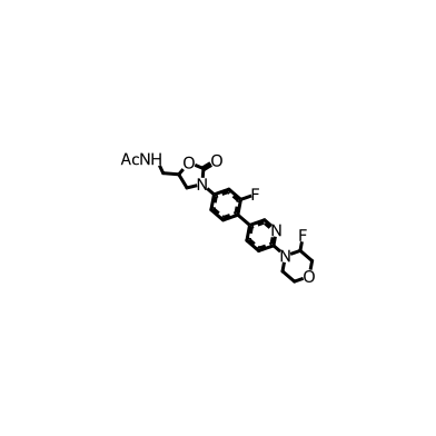 CC(=O)NCC1CN(c2ccc(-c3ccc(N4CCOCC4F)nc3)c(F)c2)C(=O)O1